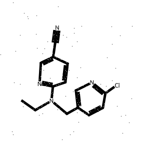 CCN(Cc1ccc(Cl)nc1)c1ccc(C#N)cn1